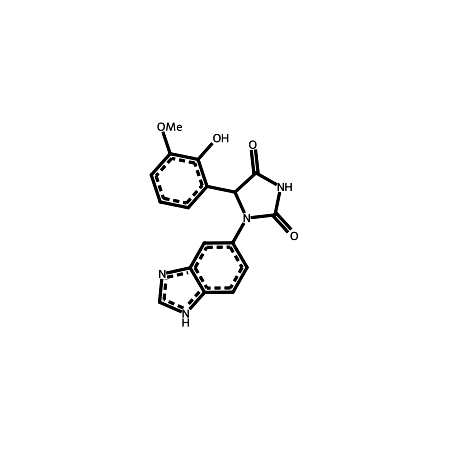 COc1cccc(C2C(=O)NC(=O)N2c2ccc3[nH]cnc3c2)c1O